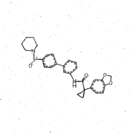 O=C(Nc1cccc(-c2ccc([S+]([O-])N3CCCCC3)cc2)c1)C1(c2ccc3c(c2)OCO3)CC1